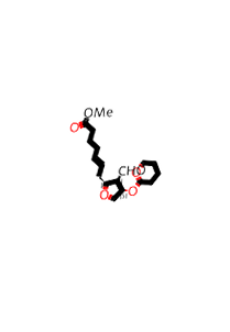 COC(=O)CCCC=CC[C@H]1OC[C@@H](OC2CCCCO2)[C@@H]1C=O